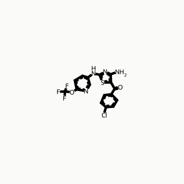 Nc1nc(Nc2ccc(OC(F)(F)F)nc2)sc1C(=O)c1ccc(Cl)cc1